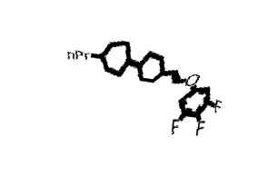 CCCC1CCC(C2CCC(C=COc3cc(F)c(F)c(F)c3)CC2)CC1